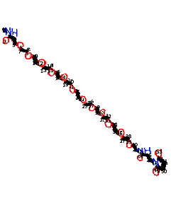 CNC(=O)CCOCCOCCOCCOCCOCCOCCOCCOCCOCCOCCOCCOCCNC(=O)CCN1C(=O)C=CC1=O